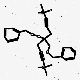 C[Si](C)(C)C#CCC(CC#C[Si](C)(C)C)(COCc1ccccc1)COCc1ccccc1